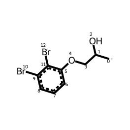 [CH2]C(O)COc1cccc(Br)c1Br